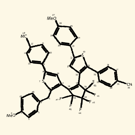 COc1ccc(Cc2sc(-c3ccc(C#N)cc3)cc2C2=C(c3cc(-c4ccc(OC)cc4)sc3-c3ccc(C#N)cc3)C(F)(F)C(F)(F)C2(F)F)cc1